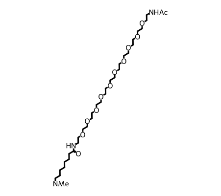 CNCCCCCCCC(=O)NCCOCCOCCOCCOCCOCCOCCOCCOCCOCCOCCNC(C)=O